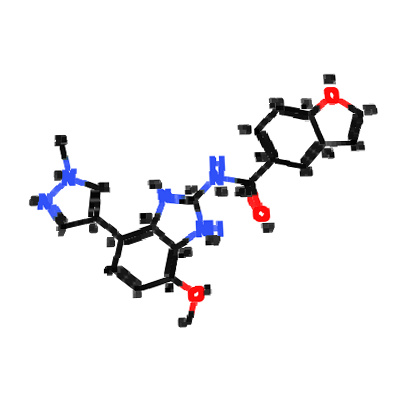 COc1ccc(-c2cnn(C)c2)c2nc(NC(=O)c3ccc4occc4c3)[nH]c12